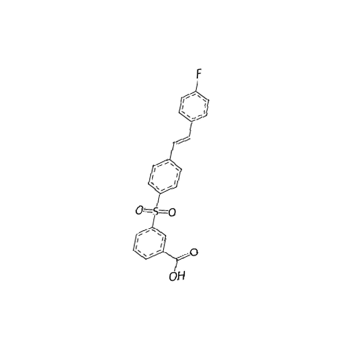 O=C(O)c1cccc(S(=O)(=O)c2ccc(C=Cc3ccc(F)cc3)cc2)c1